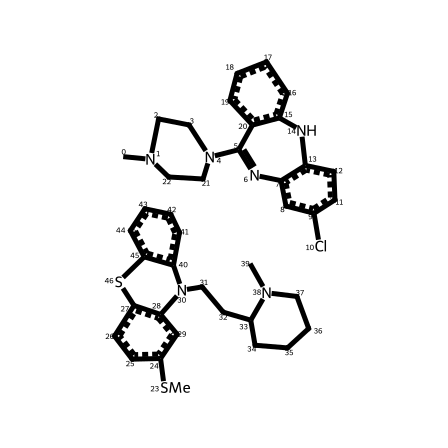 CN1CCN(C2=Nc3cc(Cl)ccc3Nc3ccccc32)CC1.CSc1ccc2c(c1)N(CCC1CCCCN1C)c1ccccc1S2